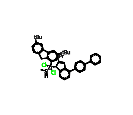 CCCC1=Cc2c(-c3ccc(-c4ccccc4)cc3)cccc2[CH]1[Zr]([Cl])([Cl])([c]1cc(C(C)(C)C)cc2c1Cc1ccc(C(C)(C)C)cc1-2)[SiH](C)C